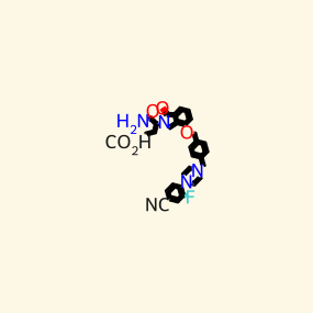 N#Cc1ccc(N2CCN(Cc3ccc(COc4cccc5c4CN(C(CCC(=O)O)C(N)=O)C5=O)cc3)CC2)c(F)c1